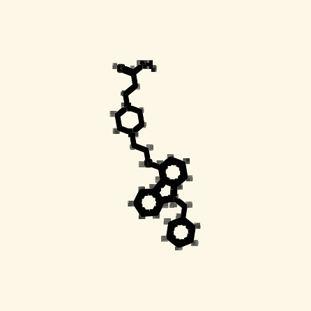 NC(=O)CCN1CCN(CCOc2cccc3c2c2ccccc2n3Cc2ccccc2)CC1